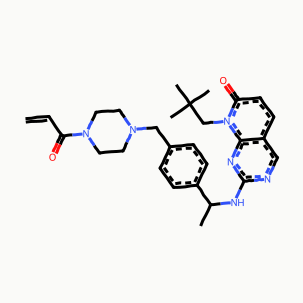 C=CC(=O)N1CCN(Cc2ccc(C(C)Nc3ncc4ccc(=O)n(CC(C)(C)C)c4n3)cc2)CC1